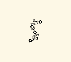 O=C(Nc1ccc(-c2cn3cc(NC(=O)[C@@H]4CCCN4C(=O)Cc4ccccc4)cnc3n2)cc1)[C@@H]1CCCN1C(=O)Cc1ccccc1